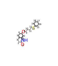 O=C1CCc2ccc(OCCCCSc3ccccc3)cc2N1